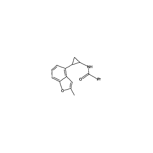 Cc1cc2c(C3CC3NC(=O)C(C)C)cccc2o1